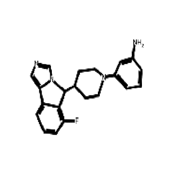 Nc1cccc(N2CCC(C3c4c(F)cccc4-c4cncn43)CC2)c1